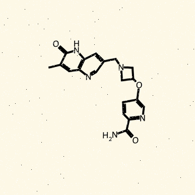 Cc1cc2ncc(CN3CC(Oc4ccc(C(N)=O)nc4)C3)cc2[nH]c1=O